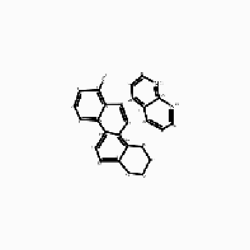 Clc1cccc2c1ccc1c3c(ccc12)CCCC3.c1cnc2ncccc2c1